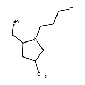 CC(C)CC1CC(C)CN1CCCF